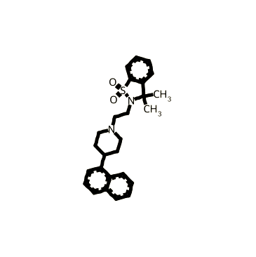 CC1(C)c2ccccc2S(=O)(=O)N1CCN1CCC(c2cccc3ccccc23)CC1